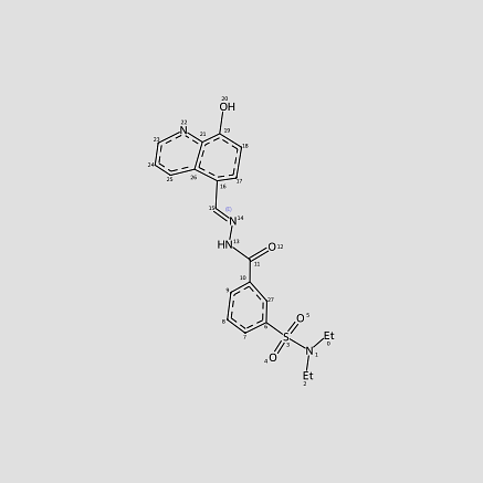 CCN(CC)S(=O)(=O)c1cccc(C(=O)N/N=C/c2ccc(O)c3ncccc23)c1